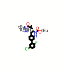 CC(=O)NC(C)(C[C@@H](Cc1ccc(-c2cc(Cl)ccc2F)cc1)NC(=O)OC(C)(C)C)C(=O)NC(C)(C)C